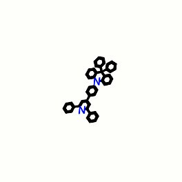 c1ccc(-c2cc(-c3ccc(N4c5ccccc5C(c5ccccc5)(c5ccccc5)c5ccccc54)cc3)cc(-c3ccccc3)n2)cc1